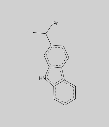 CC(C)C(C)c1ccc2c(c1)[nH]c1ccccc12